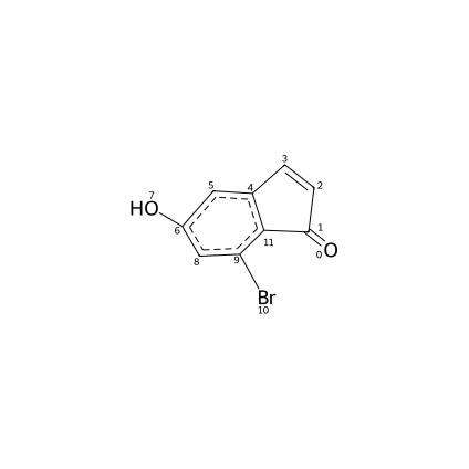 O=C1C=Cc2cc(O)cc(Br)c21